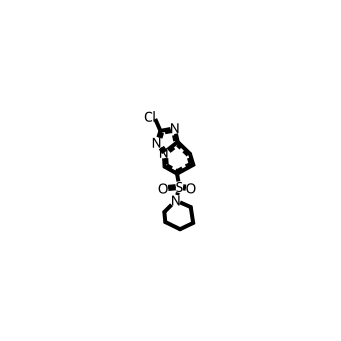 O=S(=O)(c1ccc2nc(Cl)nn2c1)N1CCCCC1